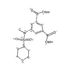 COC(=O)c1cc(C(=O)OC)cc(N(C)S(=O)(=O)N2CCOCC2)c1